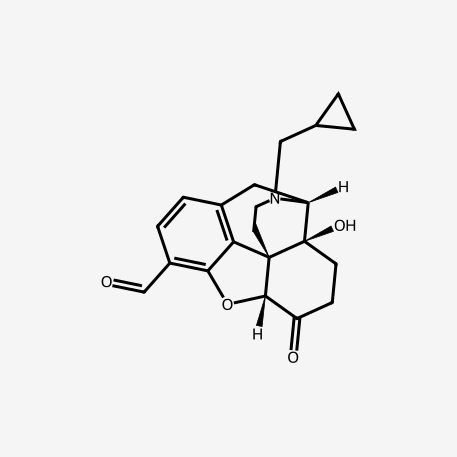 O=Cc1ccc2c3c1O[C@H]1C(=O)CC[C@@]4(O)[C@@H](C2)N(CC2CC2)CC[C@]314